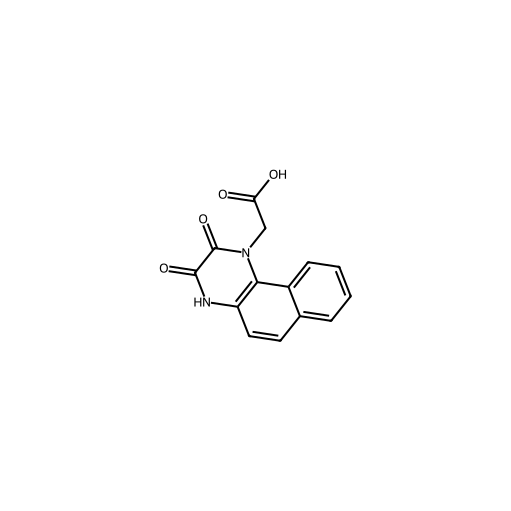 O=C(O)Cn1c(=O)c(=O)[nH]c2ccc3ccccc3c21